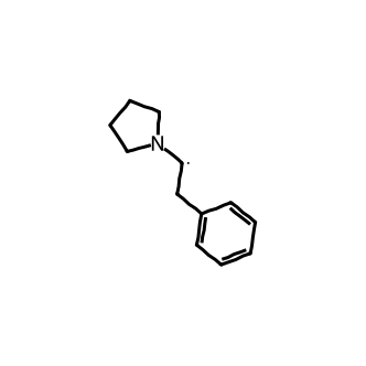 [CH](Cc1ccccc1)N1CCCC1